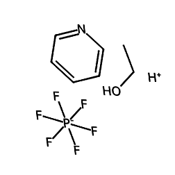 CCO.F[P-](F)(F)(F)(F)F.[H+].c1ccncc1